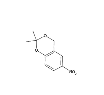 CC1(C)OCc2cc([N+](=O)[O-])ccc2O1